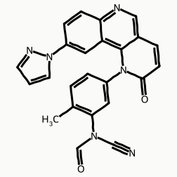 Cc1ccc(-n2c(=O)ccc3cnc4ccc(-n5cccn5)cc4c32)cc1N(C#N)C=O